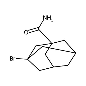 NC(=O)C12CC3CC(CC(Br)(C3)C1)C2